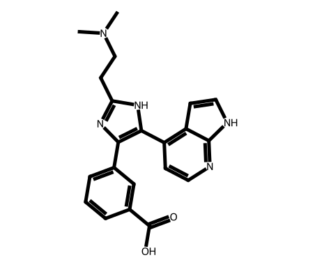 CN(C)CCc1nc(-c2cccc(C(=O)O)c2)c(-c2ccnc3[nH]ccc23)[nH]1